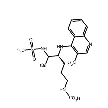 CC(C)(C)C(NS(C)(=O)=O)[C@H](CCCNC(=O)O)Nc1c([N+](=O)[O-])cnc2ccccc12